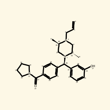 C=CCN1C[C@H](C)N([C@H](c2ccc(C(=O)N3CCCC3)cc2)c2cccc(O)c2)C[C@H]1C